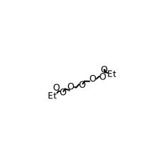 CCC(=O)OCCOCCOCCOCCOC(=O)CC